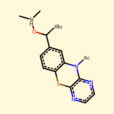 CC(=O)N1c2cc(C(O[SiH](C)C)C(C)(C)C)ccc2Sc2nccnc21